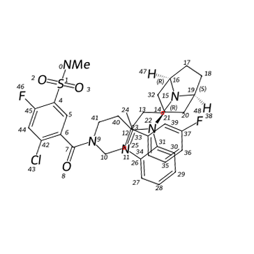 CNS(=O)(=O)c1cc(C(=O)N2CCC(CCN3[C@@H]4CC[C@H]3C[C@@H](n3c(C)nc5ccccc53)C4)(c3cccc(F)c3)CC2)c(Cl)cc1F